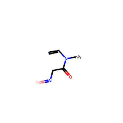 B=NCC(=O)N(C=C)CCC